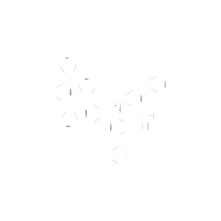 CC1(C)c2cc(-c3ccccc3)ccc2N(Cc2cccc3c2-c2ccccc2C32c3ccccc3-c3ccc4c(oc5ccccc54)c32)c2ccc(-c3ccccc3)cc21